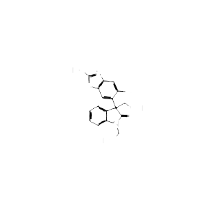 Cc1nc2cc(O)c(C3(CO)C(=O)N(CO)c4ccccc43)cc2s1